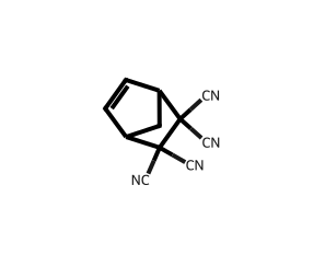 N#CC1(C#N)C2C=CC(C2)C1(C#N)C#N